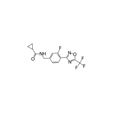 O=C(NCc1ccc(-c2noc(C(F)(F)F)n2)c(F)c1)C1CC1